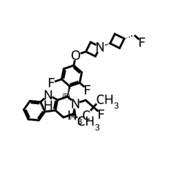 C[C@@H]1Cc2c([nH]c3ccccc23)[C@@H](c2c(F)cc(OC3CN([C@H]4C[C@@H](CF)C4)C3)cc2F)N1CC(C)(C)F